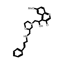 COc1ccc2ncc(Cl)c(C(O)CN3CCOC(CNCC=Cc4ccccc4)C3)c2c1